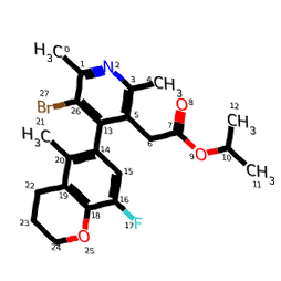 Cc1nc(C)c(CC(=O)OC(C)C)c(-c2cc(F)c3c(c2C)CCCO3)c1Br